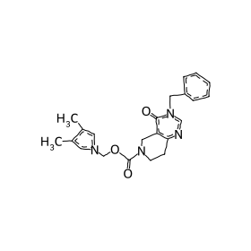 Cc1cn(COC(=O)N2CCc3ncn(Cc4ccccc4)c(=O)c3C2)cc1C